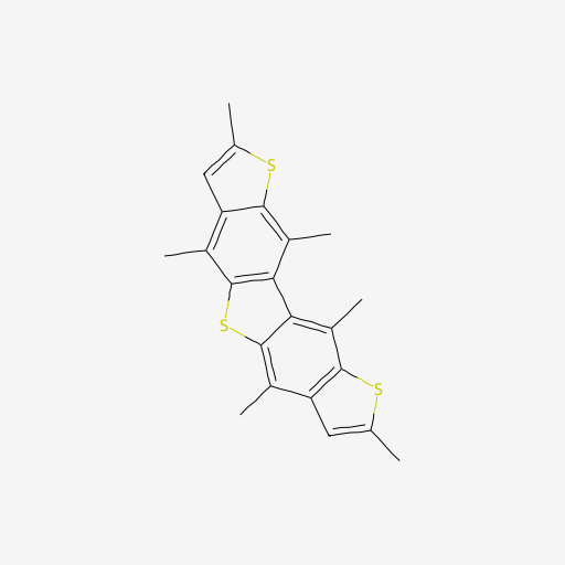 Cc1cc2c(C)c3sc4c(C)c5cc(C)sc5c(C)c4c3c(C)c2s1